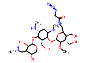 CNCC1[C@@H](O)[C@@H](OC2[C@@H](CO)[C@H](O[C@H]3OC(CNC(=O)CN=[N+]=[N-])[C@@H](CO)[C@H](CO)C3OC)C(NC)C[C@H]2NC)OC[C@@H]1O